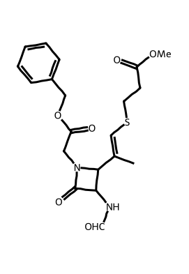 COC(=O)CCSC=C(C)C1C(NC=O)C(=O)N1CC(=O)OCc1ccccc1